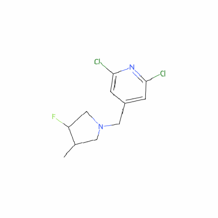 CC1CN(Cc2cc(Cl)nc(Cl)c2)CC1F